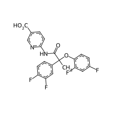 CC(Oc1ccc(F)cc1F)(C(=O)Nc1ccc(C(=O)O)cn1)c1ccc(F)c(F)c1